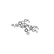 COc1ccc(CC(C)CCC(=O)[N]Cc2nc(C)c(C)n2Cc2ccccc2Cl)c(Cl)c1OC